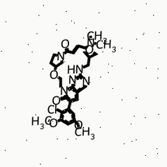 COc1cc(OC)c(Cl)c(-c2cc3cnc(NCC4COC4)nc3n(CCOC3CCN(C(=O)C=CCN(C)C)C3)c2=O)c1